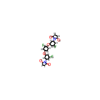 O=C1C=CC(=O)N1c1cc(F)cc(Oc2ccc(Oc3cc(F)cc(N4C(=O)C=CC4=O)c3)c(F)c2)c1